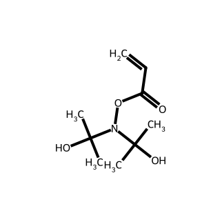 C=CC(=O)ON(C(C)(C)O)C(C)(C)O